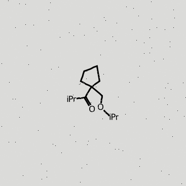 CC(C)OCC1(C(=O)C(C)C)CCCC1